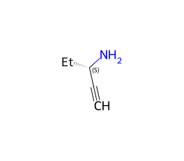 C#C[C@@H](N)CC